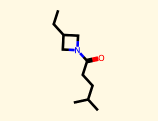 CCC1CN(C(=O)CCC(C)C)C1